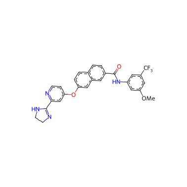 COc1cc(NC(=O)c2ccc3ccc(Oc4ccnc(C5=NCCN5)c4)cc3c2)cc(C(F)(F)F)c1